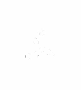 c1ccc2c(c1)oc1cc3c(cc12)c(-c1cccc2c1sc1ccccc12)cc1cc2sccc2cc13